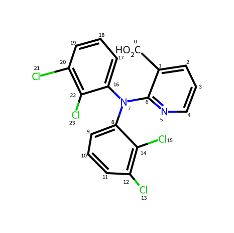 O=C(O)c1cccnc1N(c1cccc(Cl)c1Cl)c1cccc(Cl)c1Cl